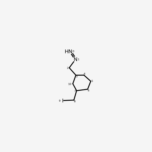 N=NCC1CCCC(CI)C1